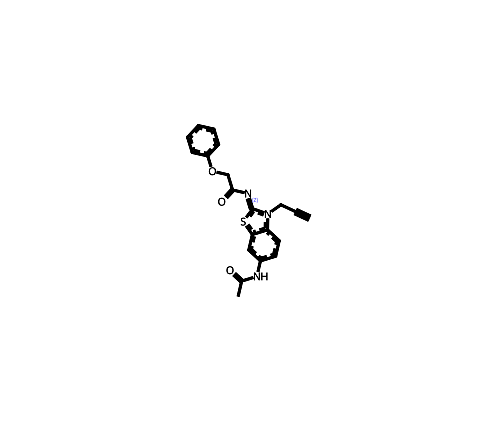 C#CCn1/c(=N/C(=O)COc2ccccc2)sc2cc(NC(C)=O)ccc21